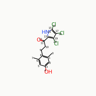 Cc1cc(O)cc(C)c1CCC(=O)c1[nH]c(Cl)c(Cl)c1Cl